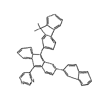 CC1(C)c2ccccc2-c2ccc(-c3c4ccccc4c(-c4ccncn4)c4ccc(-c5ccc6ccccc6c5)cc34)cc21